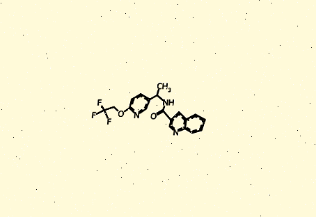 CC(NC(=O)c1cnc2ccccc2c1)c1ccc(OCC(F)(F)F)nc1